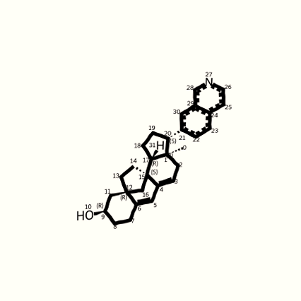 C[C@]12CC=C3C=C4CC[C@@H](O)C[C@]45CC[C@]3(C5)[C@@H]1CC[C@@H]2c1ccc2ccncc2c1